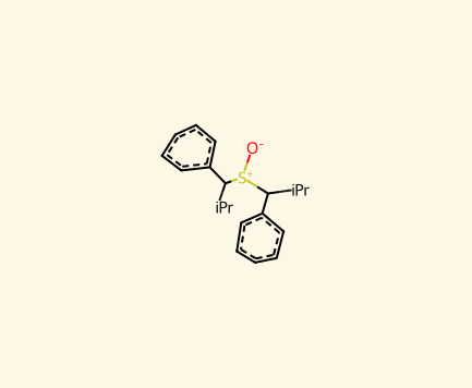 CC(C)C(c1ccccc1)[S+]([O-])C(c1ccccc1)C(C)C